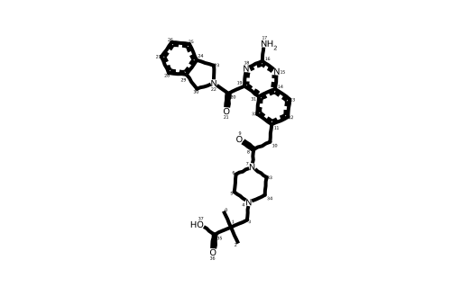 CC(C)(CN1CCN(C(=O)Cc2ccc3nc(N)nc(C(=O)N4Cc5ccccc5C4)c3c2)CC1)C(=O)O